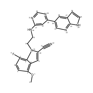 COc1ccc(F)c2c1cc(C#N)n2CCNc1cc(-c2cnc3[nH]ccc3c2)ncn1